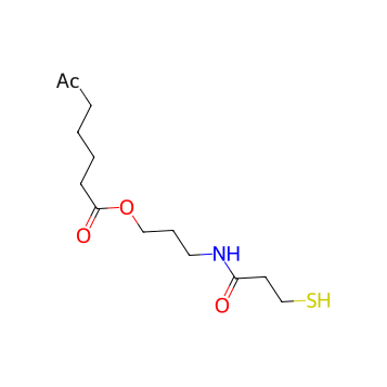 CC(=O)CCCCC(=O)OCCCNC(=O)CCS